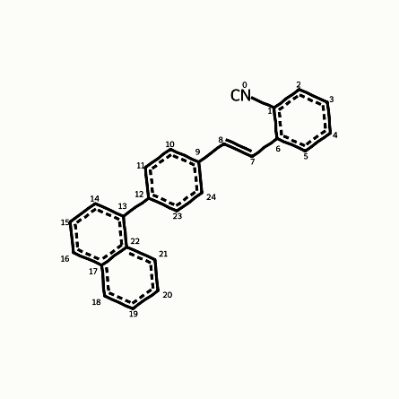 [C-]#[N+]c1ccccc1C=Cc1ccc(-c2cccc3ccccc23)cc1